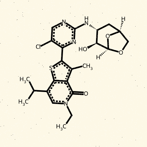 CCn1cc(C(C)C)c2sc(-c3nc(N[C@@H]4C[C@H]5CO[C@H](O5)[C@H]4O)ncc3Cl)c(C)c2c1=O